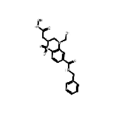 CCN1CC(CC(=O)NO)S(=O)(=O)c2ccc(C(=O)NCc3ccccc3)cc21